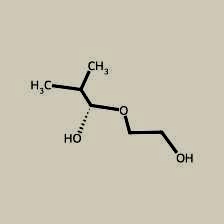 CC(C)[C@@H](O)OCCO